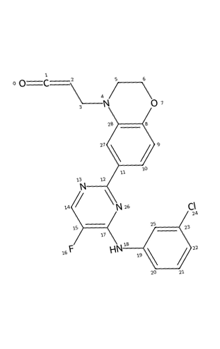 O=C=CCN1CCOc2ccc(-c3ncc(F)c(Nc4cccc(Cl)c4)n3)cc21